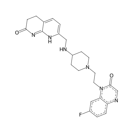 O=C1CCC2=CC=C(CNC3CCN(CCn4c(=O)cnc5ccc(F)cc54)CC3)NC2=N1